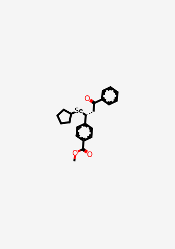 COC(=O)c1ccc([C@@H](CC(=O)c2ccccc2)[Se]C2CCCC2)cc1